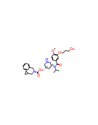 COCCCOc1cc(C(=O)N(C(C)C)[C@H]2CNC[C@@H](COC(=O)N(Cc3ccccc3)CC3CC3)C2)ccc1OC